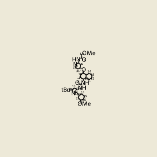 COCC(=O)Nc1cc(Oc2ccc(NC(=O)Nc3cc(C(C)(C)C)nn3-c3cccc(OC)c3)c3ccccc23)ccn1